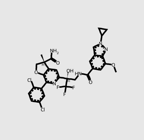 COc1cc(C(=O)NC[C@](O)(c2cc3c(c(-c4cc(Cl)ccc4Cl)n2)OC[C@]3(C)C(N)=O)C(F)(F)F)cc2cn(C3CC3)nc12